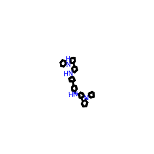 C1=CC2c3cc(Nc4ccc(-c5ccc(Nc6cccc(-c7ccccc7Nc7ccccc7)c6)cc5)cc4)ccc3N(c3ccccc3)C2C=C1